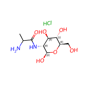 CC(N)C(=O)N[C@@H]1[C@@H](O)[C@H](O)[C@@H](CO)O[C@H]1O.Cl